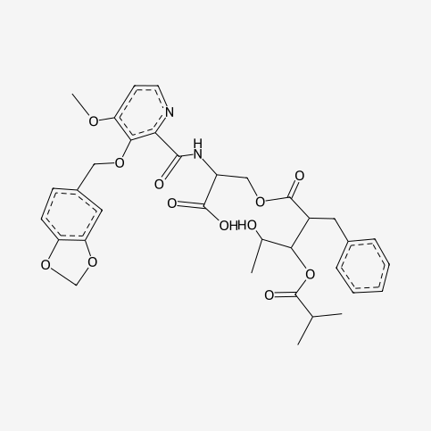 COc1ccnc(C(=O)NC(COC(=O)C(Cc2ccccc2)C(OC(=O)C(C)C)C(C)O)C(=O)O)c1OCc1ccc2c(c1)OCO2